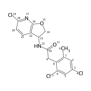 Cc1cc(Cl)cc(Cl)c1CC(=O)NC1COc2nc(Cl)ccc21